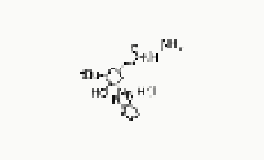 CC(C)(C)c1cc(CCC(=O)NCCN)cc(-n2nc3ccccc3n2)c1O.Cl